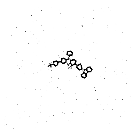 CC(C)(C)c1ccc(-c2ccc(N(c3ccccc3)c3ccc(-c4ccc(-n5c6ccccc6c6ccccc65)cc4)c4nsnc34)cc2)cc1